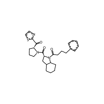 O=C(c1nccs1)[C@@H]1CCCN1C(=O)[C@@H]1CC2CCCCC2N1C(=O)CCCc1ccccc1